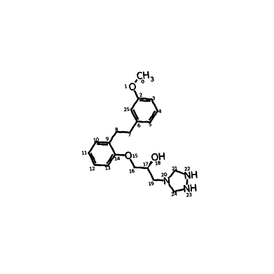 COc1cccc(CCc2ccccc2OC[C@@H](O)CN2CNNC2)c1